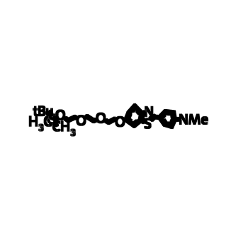 CNc1ccc(-c2nc3ccc(OCCOCCOCCO[Si](C)(C)C(C)(C)C)cc3s2)cc1